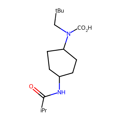 CC(C)C(=O)NC1CCC(N(CC(C)(C)C)C(=O)O)CC1